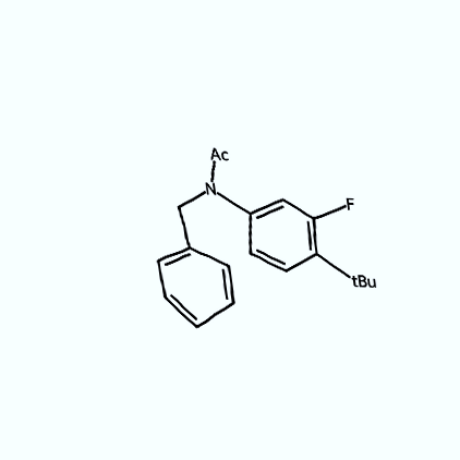 CC(=O)N(Cc1ccccc1)c1ccc(C(C)(C)C)c(F)c1